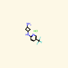 Cl.NC1CC(Nc2ccc(C(F)(F)F)cn2)C1